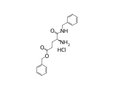 Cl.N[C@@H](CCC(=O)OCc1ccccc1)C(=O)NCc1ccccc1